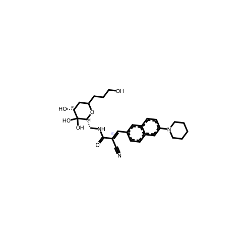 N#C/C(=C\c1ccc2cc(N3CCCCC3)ccc2c1)C(=O)NC[C@H]1OC(CCCO)C[C@@H](O)C1(O)O